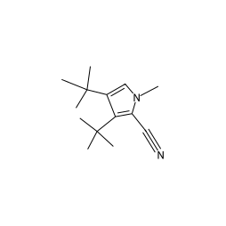 Cn1cc(C(C)(C)C)c(C(C)(C)C)c1C#N